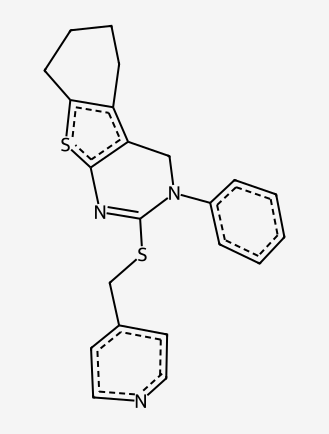 c1ccc(N2Cc3c(sc4c3CCCC4)N=C2SCc2ccncc2)cc1